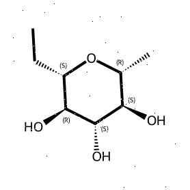 CC[C@@H]1O[C@H](C)[C@@H](O)[C@H](O)[C@H]1O